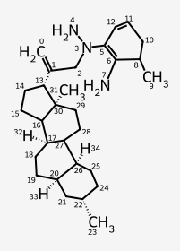 C=C(CN(N)C1=C(N)C(C)CC=C1)[C@H]1CCC2[C@@H]3CC[C@@H]4C[C@@H](C)CC[C@@H]4C3CC[C@@]21C